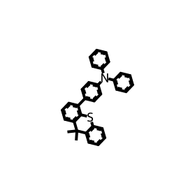 CC1(C)c2ccccc2Sc2c(-c3ccc(N(c4ccccc4)c4ccccc4)cc3)cccc21